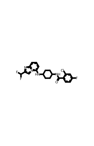 O=C(NC1CCC(Nc2cccc3nc(C(F)F)cn23)CC1)c1ccc(F)cc1Cl